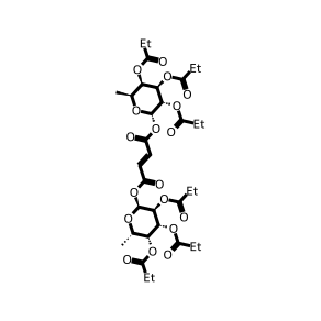 CCC(=O)O[C@H]1[C@H](OC(=O)CC)[C@H](OC(=O)/C=C/C(=O)O[C@@H]2O[C@@H](C)[C@@H](OC(=O)CC)[C@@H](OC(=O)CC)[C@@H]2OC(=O)CC)O[C@@H](C)[C@H]1OC(=O)CC